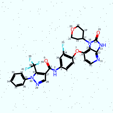 O=C(Nc1ccc(Oc2ccnc3[nH]c(=O)n(C4CCOCC4)c23)c(F)c1)c1cnn(-c2ccccc2)c1C(F)(F)F